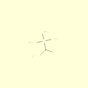 CCCCCC(O)[Si](OC)(OC)OC